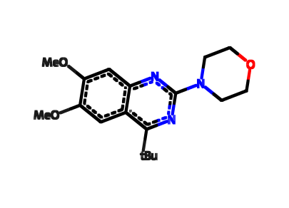 COc1cc2nc(N3CCOCC3)nc(C(C)(C)C)c2cc1OC